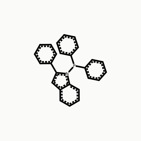 c1ccc(-c2cc3ccccc3n2P(c2ccccc2)c2ccccc2)cc1